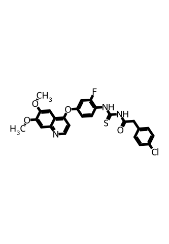 COc1cc2nccc(Oc3ccc(NC(=S)NC(=O)Cc4ccc(Cl)cc4)c(F)c3)c2cc1OC